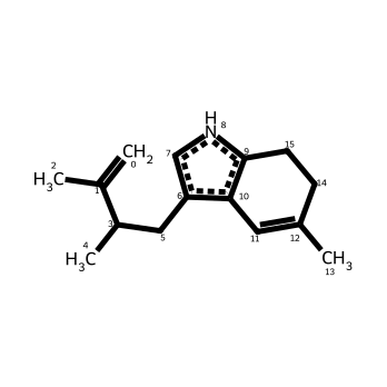 C=C(C)C(C)Cc1c[nH]c2c1C=C(C)CC2